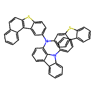 c1ccc(-n2c3ccccc3c3cccc(N(c4ccc5c(c4)sc4ccccc45)c4ccc5sc6ccc7ccccc7c6c5c4)c32)cc1